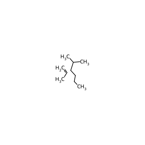 C=CC.CCCCC(C)C